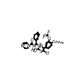 CCC1SC(=O)N(C(NC(=O)N2C=CN=CC2)c2ccccc2)N=C1c1ccc(OC)c(OC(F)F)c1